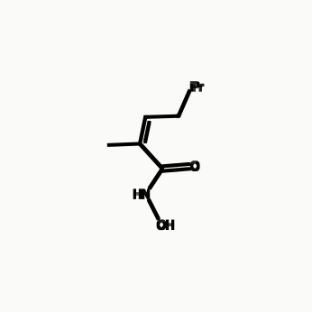 CC(=CCC(C)C)C(=O)NO